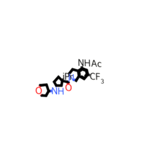 CC(=O)Nc1cc(C(F)(F)F)cc2c1CCN(C(=O)[C@@]1(C(C)C)CC[C@@H](NC3CCOCC3)C1)C2